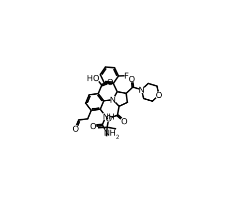 CC(C)(C)OC(=O)C1CC(C(=O)N2CCOCC2)C(c2ccccc2F)N1c1c(C(=O)O)ccc(CC=O)c1NC(N)=O